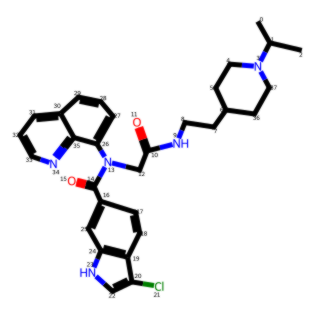 CC(C)N1CCC(CCNC(=O)CN(C(=O)c2ccc3c(Cl)c[nH]c3c2)c2cccc3cccnc23)CC1